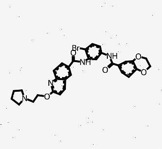 O=C(Nc1ccc(Br)c(NC(=O)c2ccc3nc(OCCN4CCCC4)ccc3c2)c1)c1ccc2c(c1)OCCO2